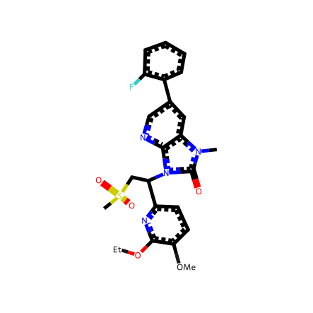 CCOc1nc(C(CS(C)(=O)=O)n2c(=O)n(C)c3cc(-c4ccccc4F)cnc32)ccc1OC